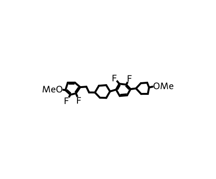 COc1ccc(CCC2CCC(c3ccc(C4CCC(OC)CC4)c(F)c3F)CC2)c(F)c1F